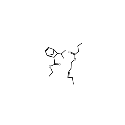 CC/C=C\CCOC(=O)CCC.CCOC(=O)[C@H]1C2C=CC(C2)C1C(C)C